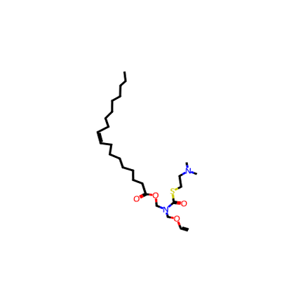 C=COCN(COC(=O)CCCCCCC/C=C\CCCCCCCC)C(=O)SCCN(C)C